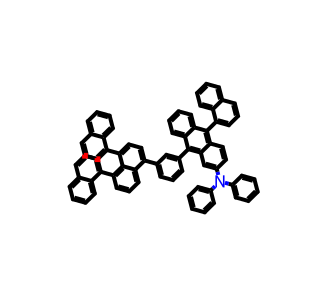 c1ccc(N(c2ccccc2)c2ccc3c(-c4cccc5ccccc45)c4ccccc4c(-c4cccc(-c5ccc(-c6cccc7ccccc67)c6c(-c7cccc8ccccc78)cccc56)c4)c3c2)cc1